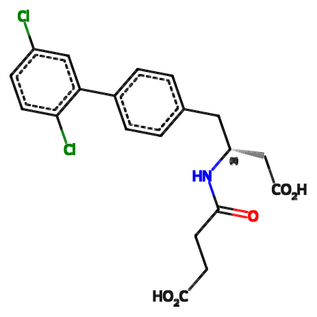 O=C(O)CCC(=O)N[C@@H](CC(=O)O)Cc1ccc(-c2cc(Cl)ccc2Cl)cc1